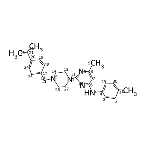 Cc1ccc(Nc2cc(C)nc(N3CCN(Sc4ccc(C(C)C)cc4)CC3)n2)cc1